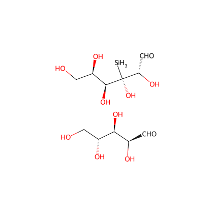 O=C[C@@H](O)[C@H](O)[C@H](O)CO.O=C[C@H](O)[C@](O)([SiH3])[C@@H](O)[C@H](O)CO